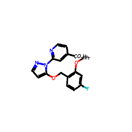 CCCOc1cc(F)ccc1COc1ccnn1-c1cc(C(=O)O)ccn1